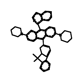 CC1(C)c2ccccc2C2=CC=C(c3c4cc(N5CCCCC5)ccc4c(-c4nccc5ccccc45)c4cc(N5CCCCC5)ccc34)CC21